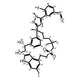 Cn1nc([C@](C)(CCCC(C)(C)CS(=O)(=O)CCc2cc(F)cc3[nH]ccc23)c2cccc([C@@H](O)CO)c2)nc1-c1cc([S+]=O)ccc1F